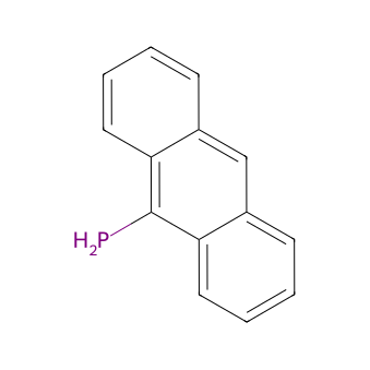 Pc1c2ccccc2cc2ccccc12